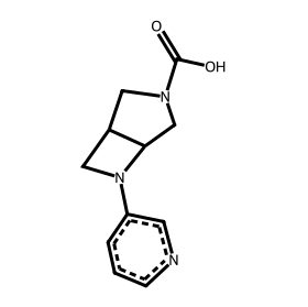 O=C(O)N1CC2CN(c3cccnc3)C2C1